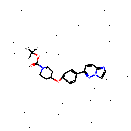 CC(C)(C)OC(=O)N1CCC(Oc2ccc(-c3ccc4nccn4n3)cc2)CC1